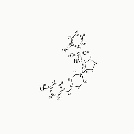 O=S(=O)(N[C@@H]1CCC[C@H]1N1CCC(Cc2ccc(Cl)cc2)CC1)c1ccccc1F